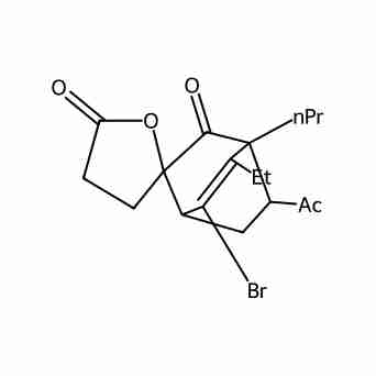 CCCC12C(=O)C3(CCC(=O)O3)C(CC1C(C)=O)C(Br)=C2CC